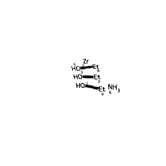 CCO.CCO.CCO.N.[Zr]